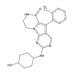 Cc1ccccc1-c1c2n(c3nc(NC4CCC(O)CC4)ncc13)CCNC2=O